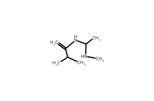 C=C(NC(C)NC)C(C)C